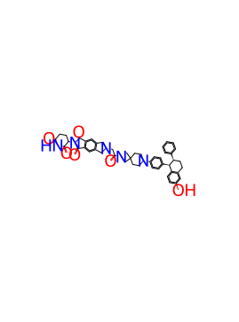 O=C1CC[C@@H](N2C(=O)c3cc4c(cc3C2=O)CN(CC(=O)N2CC3(CCN(c5ccc([C@@H]6c7ccc(O)cc7CC[C@@H]6c6ccccc6)cc5)CC3)C2)C4)C(=O)N1